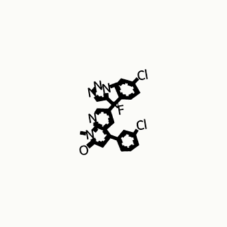 Cn1nncc1[C@@](F)(c1ccc(Cl)cc1)c1cnc2c(c1)c(-c1cccc(Cl)c1)cc(=O)n2C